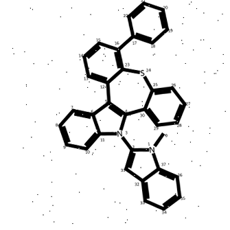 Cn1c(-n2c3c(c4ccccc42)-c2cccc(-c4ccccc4)c2Sc2ccccc2-3)cc2ccccc21